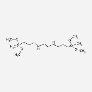 CO[Si](C)(CCCNCCNCCC[Si](C)(OC)OC)OC